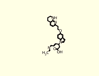 C=C/N=C\C=C\C(CC(=O)O)n1ccc2cc(OCCc3ccc4c(n3)NCCC4)ccc21